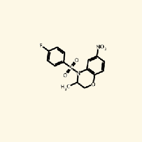 CC1COc2ccc([N+](=O)[O-])cc2N1S(=O)(=O)c1ccc(F)cc1